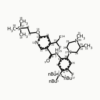 CCC[CH2][Sn]([CH2]CCC)([CH2]CCC)[c]1cc(NC(=O)c2cnc(OCC[Si](C)(C)C)cc2C(F)F)c(N2CCN(C)[C@@H](C)C2)cc1F